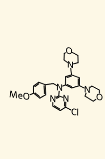 COc1ccc(CN(c2cc(N3CCOCC3)cc(N3CCOCC3)c2)c2nccc(Cl)n2)cc1